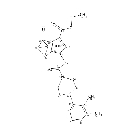 CCOC(=O)c1nn(CC(=O)N2CCC(c3cccc(C)c3C)CC2)c2c1[C@@H]1C3C2[C@@H]31